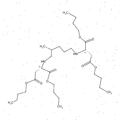 CCCCOC(=O)C[C@H](NCCCC(C)CN[C@@H](CC(=O)OCCCC)C(=O)OCCCC)C(=O)OCCCC